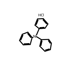 Cl.c1cc[c]([Ni]([c]2ccccc2)[c]2ccccc2)cc1